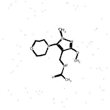 COc1nn(C)c(N2CCOCC2)c1CNC(C)=O